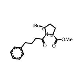 COC(=O)[C@@H]1CC[C@H](C(C)(C)C)N1C(=O)CCCc1ccccc1